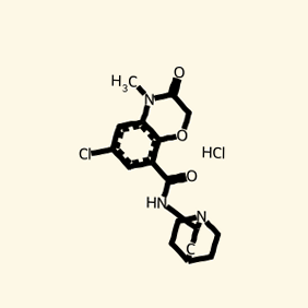 CN1C(=O)COc2c(C(=O)NC3CC4CCN3CC4)cc(Cl)cc21.Cl